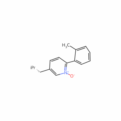 [CH2][C@@H](C)Cc1ccc(-c2ccccc2C)[n+]([O-])c1